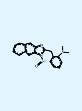 CN(C)c1ccccc1Cc1nc2cc3ccccc3cc2n1[SH]=O